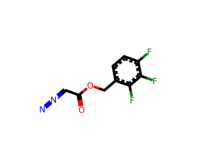 [N-]=[N+]=CC(=O)OCc1ccc(F)c(F)c1F